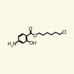 Nc1ccc(C(=O)OCCCCCCCl)c(O)c1